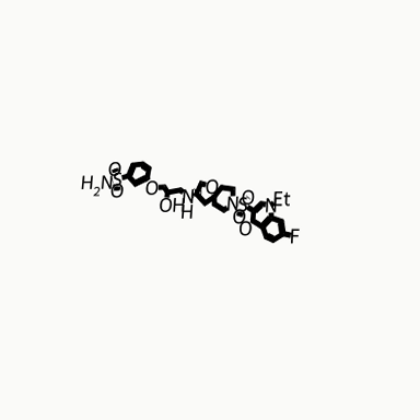 CCn1cc(S(=O)(=O)N2CCC3(CC2)C[C@@H](NCC(O)COc2cccc(S(N)(=O)=O)c2)CO3)c(=O)c2ccc(F)cc21